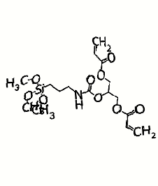 C=CC(=O)OCC(COC(=O)C=C)OC(=O)NCCC[Si](OC)(OC)OC